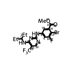 CCC(CC)Nc1nc(Nc2cc(F)c(Br)c(C(=O)OC)c2)ncc1C(F)(F)F